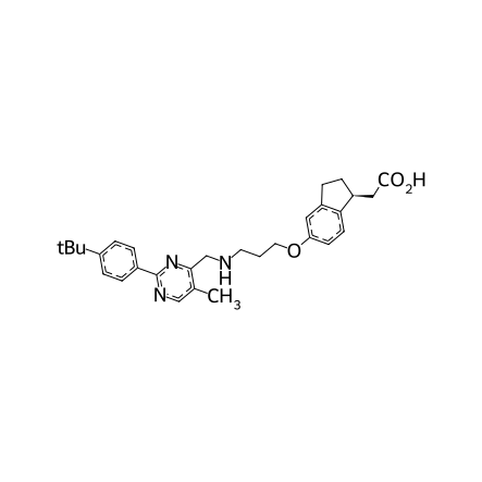 Cc1cnc(-c2ccc(C(C)(C)C)cc2)nc1CNCCCOc1ccc2c(c1)CC[C@H]2CC(=O)O